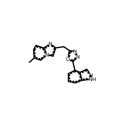 Cc1ccc2nc(Cc3nnc(-c4cccc5[nH]ncc45)o3)cn2c1